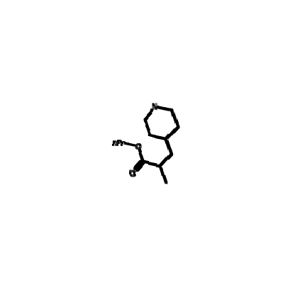 CCCOC(=O)C(C)CC1CC[N]CC1